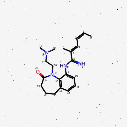 C/C=C\C=C(/C)C(=N)Nc1cccc2c1N(CCN(C)C)C(=O)CCC2